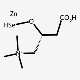 C[N+](C)(C)C[C@@H](CC(=O)O)O[SeH].[Zn]